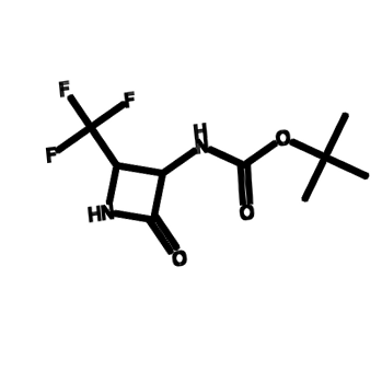 CC(C)(C)OC(=O)NC1C(=O)NC1C(F)(F)F